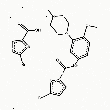 COc1ccc(NC(=O)c2ccc(Br)s2)cc1N1CCN(C)CC1.O=C(O)c1ccc(Br)s1